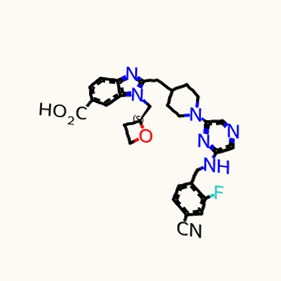 N#Cc1ccc(CNc2cncc(N3CCC(Cc4nc5ccc(C(=O)O)cc5n4C[C@@H]4CCO4)CC3)n2)c(F)c1